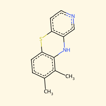 Cc1ccc2c(c1C)Nc1cnccc1S2